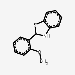 BOc1ccccc1C1Nc2ccccc2S1